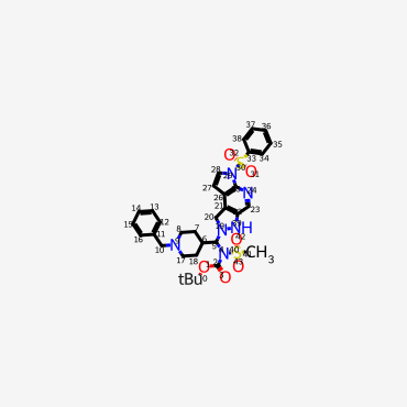 CC(C)(C)OC(=O)N(C(C1CCN(Cc2ccccc2)CC1)N1Cc2c(cnc3c2ccn3S(=O)(=O)c2ccccc2)N1)S(C)(=O)=O